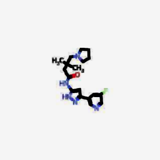 CC(C)(CC(=O)Nc1cc(-c2cncc(F)c2)n[nH]1)CN1CCCC1